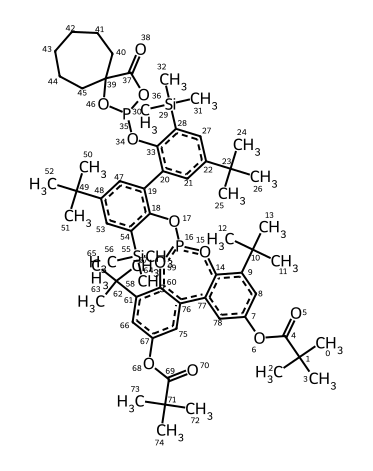 CC(C)(C)C(=O)Oc1cc(C(C)(C)C)c2op(Oc3c(-c4cc(C(C)(C)C)cc([Si](C)(C)C)c4OP4OC(=O)C5(CCCCCC5)O4)cc(C(C)(C)C)cc3[Si](C)(C)C)oc3c(C(C)(C)C)cc(OC(=O)C(C)(C)C)cc3c2c1